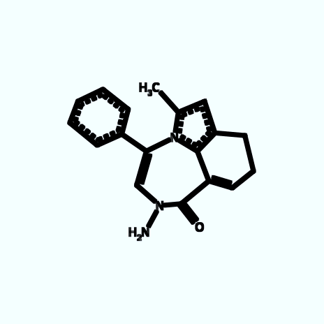 Cc1cc2c3n1C(c1ccccc1)=CN(N)C(=O)C3=CCC2